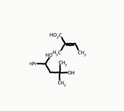 CC=C(C)C(=O)O.CCCC(O)CC(C)(C)O